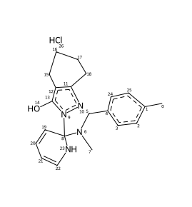 Cc1ccc(CN(C)C2(n3nc4c(c3O)CCCC4)C=CC=CN2)cc1.Cl